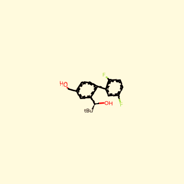 CC(C)(C)[C@H](O)c1cc(CO)ccc1-c1cc(F)ccc1F